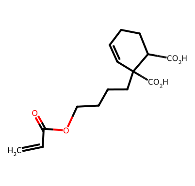 C=CC(=O)OCCCCC1(C(=O)O)C=CCCC1C(=O)O